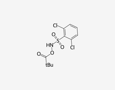 CC(C)(C)C(=O)ONS(=O)(=O)c1c(Cl)cccc1Cl